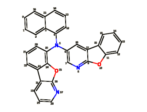 c1ccc2c(N(c3cnc4oc5ccccc5c4c3)c3cccc4c3oc3ncccc34)cccc2c1